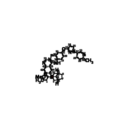 C=CC(=O)N1C[C@H]2CC[C@@H](C1)C2Oc1cc2c(Nc3ccc(Oc4ccn(-c5ccc(C)nc5)n4)cc3F)ncnc2cc1OC